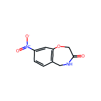 O=C1COc2cc([N+](=O)[O-])ccc2CN1